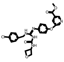 COC(=O)c1cncc(Oc2ccc(/N=C(/NCc3ccc(Cl)cc3)NC(=O)NC3COC3)cc2)c1